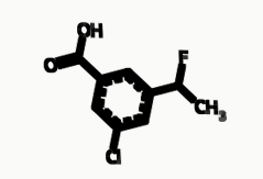 CC(F)c1cc(Cl)cc(C(=O)O)c1